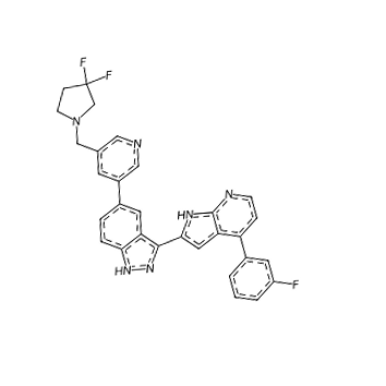 Fc1cccc(-c2ccnc3[nH]c(-c4n[nH]c5ccc(-c6cncc(CN7CCC(F)(F)C7)c6)cc45)cc23)c1